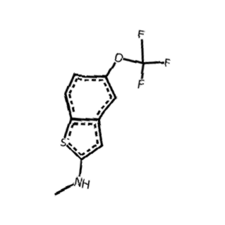 CNc1cc2cc(OC(F)(F)F)ccc2s1